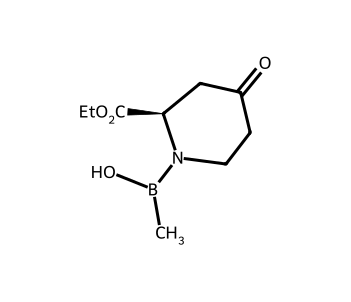 CCOC(=O)[C@H]1CC(=O)CCN1B(C)O